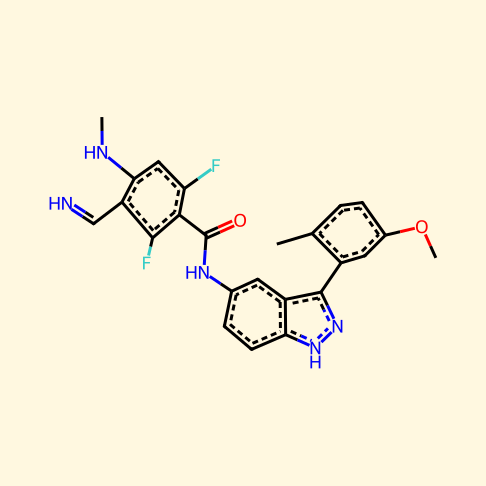 CNc1cc(F)c(C(=O)Nc2ccc3[nH]nc(-c4cc(OC)ccc4C)c3c2)c(F)c1C=N